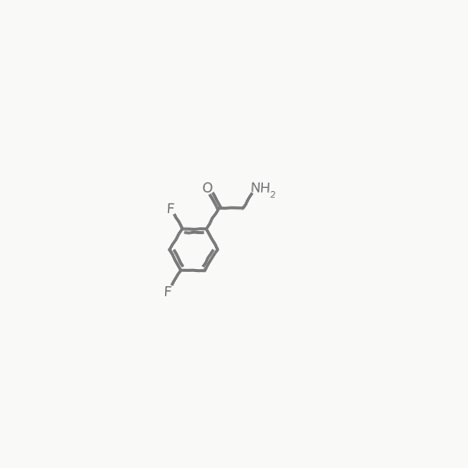 NCC(=O)c1ccc(F)cc1F